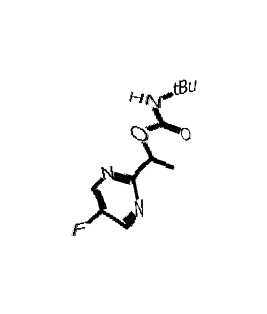 CC(OC(=O)NC(C)(C)C)c1ncc(F)cn1